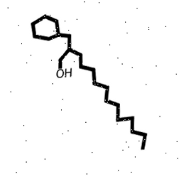 CCCCCCCCCCCCC(CO)CC1CCCCC1